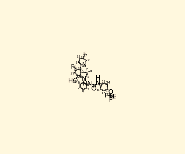 CC1(C)CN(c2ccccc2NC(=O)Nc2ccc(OC(F)(F)F)cc2)c2c(O)cc(F)c(-c3ccc(F)cn3)c21